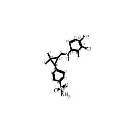 Cc1c(NCC2C(c3ccc(S(N)(=O)=O)cc3)C2(C)C)ccc(F)c1Cl